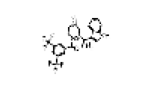 CC(c1c[nH]c2ccccc12)[C@@H]1CNCCN1C(=O)c1cc(C(F)(F)F)cc(C(F)(F)F)c1